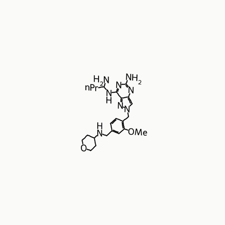 CCCC(N)Nc1nc(N)nc2cn(Cc3ccc(CNC4CCOCC4)cc3OC)nc12